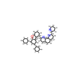 c1ccc(-c2cc(-c3ccccc3)c3oc4cccc(-c5ccc6ccc7ccc(-c8ccccn8)nc7c6n5)c4c3c2)cc1